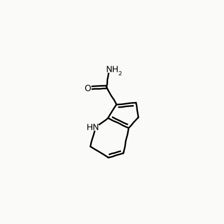 NC(=O)C1=CCC2=C1NCC=C2